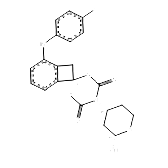 C[C@@H]1C[C@H](N2C(=N)N[C@]3(CC2=O)Cc2c(Nc4ccc(Cl)cc4)cccc23)CCO1